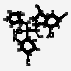 Cc1cc(Cl)c2c(c1)c(C)nn2[C@H](C)[C@](O)(Cn1cncn1)c1ccc(F)cc1F